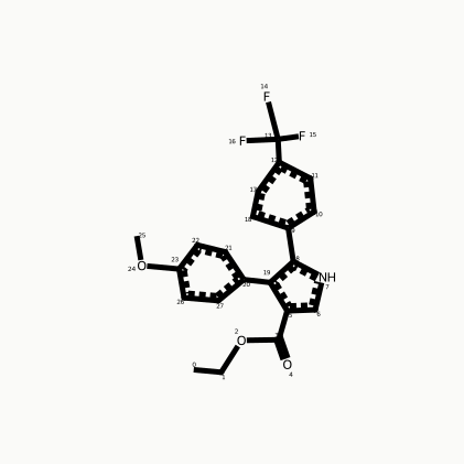 CCOC(=O)c1c[nH]c(-c2ccc(C(F)(F)F)cc2)c1-c1ccc(OC)cc1